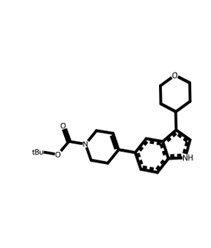 CC(C)(C)OC(=O)N1CC=C(c2ccc3[nH]cc(C4CCOCC4)c3c2)CC1